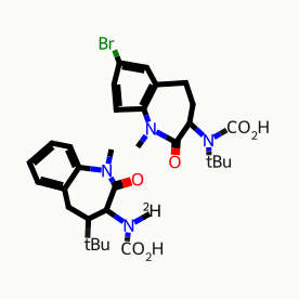 CN1C(=O)C(N(C(=O)O)C(C)(C)C)CCc2cc(Br)ccc21.[2H]N(C(=O)O)C1C(=O)N(C)c2ccccc2CC1C(C)(C)C